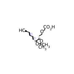 C#C/C=C/C=C/[C@H]1OC(C)(C)O[C@H]1CCOCC(=O)O